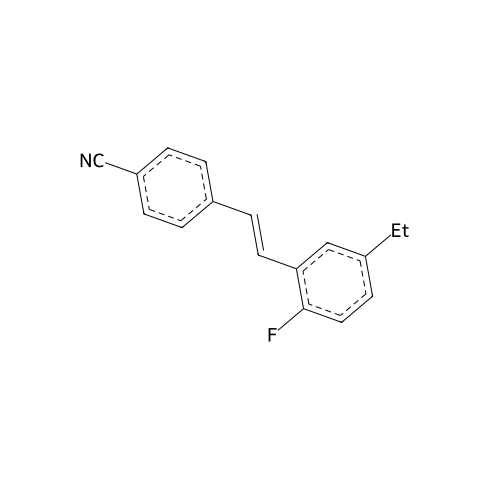 CCc1ccc(F)c(/C=C/c2ccc(C#N)cc2)c1